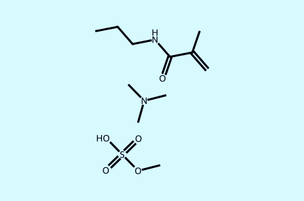 C=C(C)C(=O)NCCC.CN(C)C.COS(=O)(=O)O